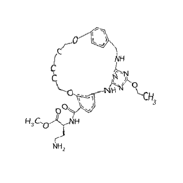 CCOc1nc2nc(n1)Nc1ccc(C(=O)N[C@@H](CCN)C(=O)OC)c(c1)OCCCCCCOc1ccc(cc1)CN2